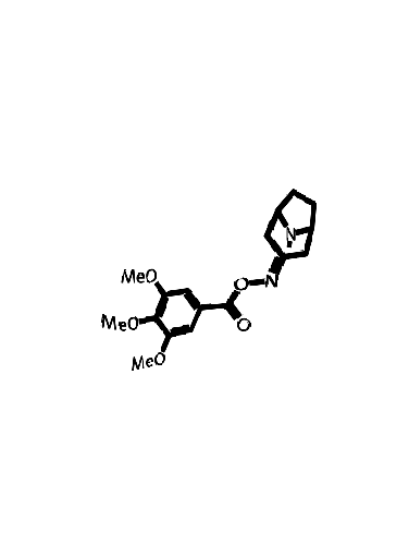 COc1cc(C(=O)ON=C2CC3CCC(C2)N3C)cc(OC)c1OC